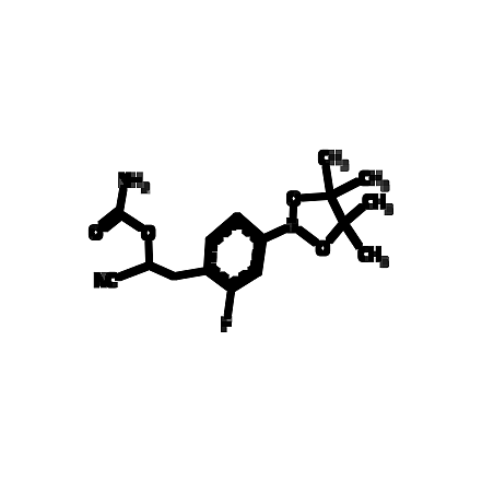 CC1(C)OB(c2ccc(CC(C#N)OC(N)=O)c(F)c2)OC1(C)C